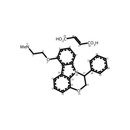 CNCCOc1cccc2c1c1cccc3c1n2C(c1ccccc1)CO3.O=C(O)C=CC(=O)O